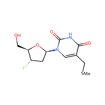 CSCc1cn([C@H]2C[C@H](F)[C@@H](CO)O2)c(=O)[nH]c1=O